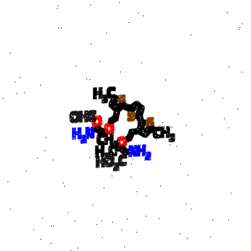 Cc1cc(CCO[C@H](C)[C@H](N)OC=O)c(-c2ccc(-c3sc(C)cc3CCO[C@H](C)[C@H](N)C(=O)O)s2)s1